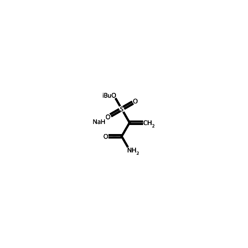 C=C(C(N)=O)S(=O)(=O)OCC(C)C.[NaH]